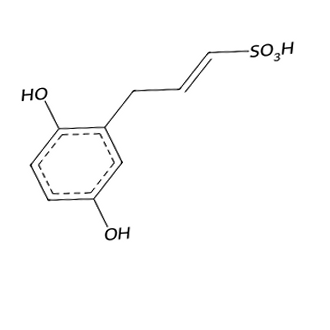 O=S(=O)(O)C=CCc1cc(O)ccc1O